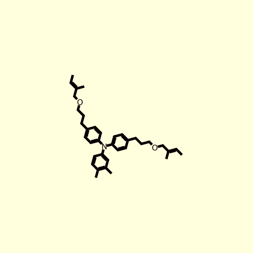 C/C=C(\C)COCCCc1ccc(N(c2ccc(CCCOC/C(C)=C/C)cc2)c2ccc(C)c(C)c2)cc1